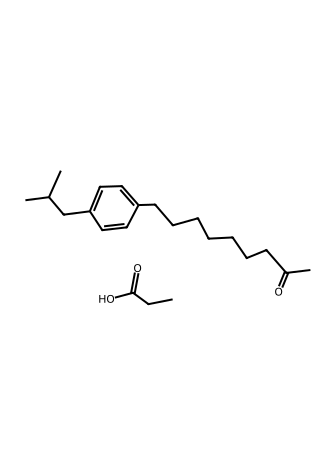 CC(=O)CCCCCCCc1ccc(CC(C)C)cc1.CCC(=O)O